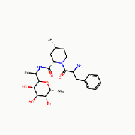 CCC[C@@H]1CCN(C(=O)[C@@H](N)Cc2ccccc2)[C@H](C(=O)N[C@H](C(C)C)[C@H]2O[C@H](SC)[C@H](O)[C@@H](O)[C@H]2O)C1